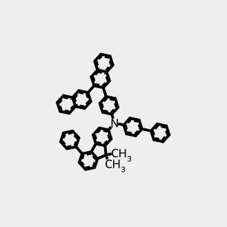 CC1(C)c2cc(N(c3ccc(-c4ccccc4)cc3)c3ccc(-c4cc5ccccc5cc4-c4ccc5ccccc5c4)cc3)ccc2-c2c(-c3ccccc3)cccc21